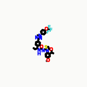 CCC(NC(=O)/N=C1\SCC(=O)N1c1ccc(OC)cc1C(C)C)c1ccc(-c2ncn(-c3ccc(OC(F)(F)F)cc3)n2)cc1